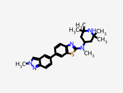 CN(c1nc2ccc(-c3ccc4nn(C)cc4c3)cc2s1)C1CC(C)(C)NC(C)(C)C1